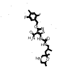 Cc1cc(F)c(COc2nsc(NC(=O)NCC(C)CC3(C)CNCC(C)O3)c2C(N)=O)cc1F